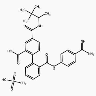 CC(NC(=O)c1ccc(-c2ccccc2C(=O)Nc2ccc(C(=N)N)cc2)c(C(=O)O)c1)C(C)(C)C.CS(=O)(=O)O